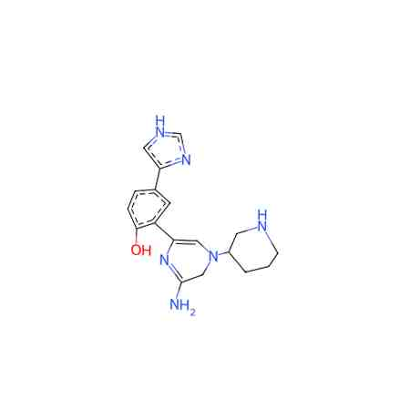 NC1=NC(c2cc(-c3c[nH]cn3)ccc2O)=CN(C2CCCNC2)C1